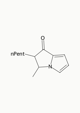 CCCCCC1C(=O)c2cccn2C1C